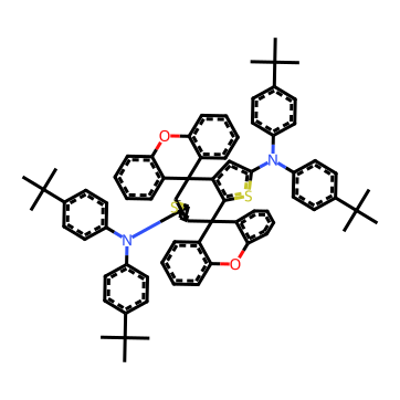 CC(C)(C)c1ccc(N(c2ccc(C(C)(C)C)cc2)c2cc3c(s2)C2(c4ccccc4Oc4ccccc42)c2cc(N(c4ccc(C(C)(C)C)cc4)c4ccc(C(C)(C)C)cc4)sc2C32c3ccccc3Oc3ccccc32)cc1